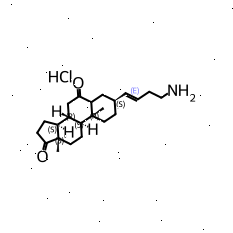 C[C@]12CC[C@H](/C=C/CCN)CC1C(=O)C[C@@H]1[C@@H]2CC[C@]2(C)C(=O)CC[C@@H]12.Cl